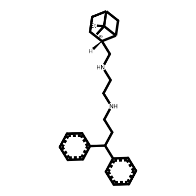 CCC1(C)C2CC[C@@H](CNCCNCCC(c3ccccc3)c3ccccc3)C1C2